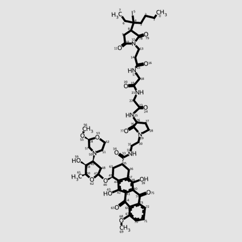 CCCCC(I)(CC)C1CC(=O)N(CCC(=O)NCC(=O)NCC(=O)NC2CCN(CCNC(=O)[C@@H]3Cc4c(O)c5c(c(O)c4[C@@H](OC4C[C@H](N6CCO[C@H](OC)C6)[C@H](O)[C@H](C)O4)C3)C(=O)c3c(OC)cccc3C5=O)C2=O)C1=O